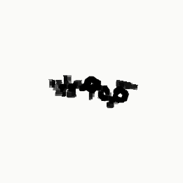 CO[C@H]1CCC[C@@H](C(=O)N2CCN(c3cccc(COC(=O)NC(=N)N)c3F)CC2)C1